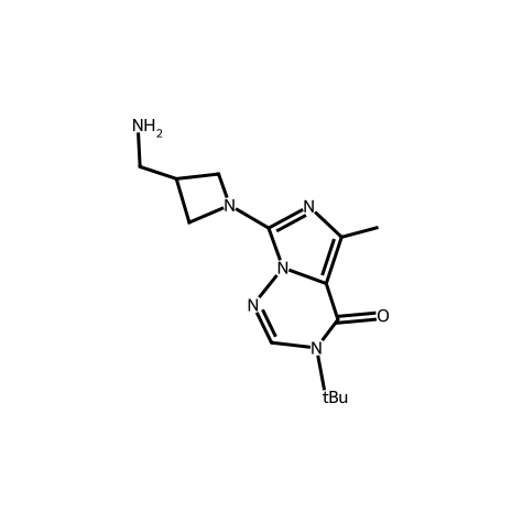 Cc1nc(N2CC(CN)C2)n2ncn(C(C)(C)C)c(=O)c12